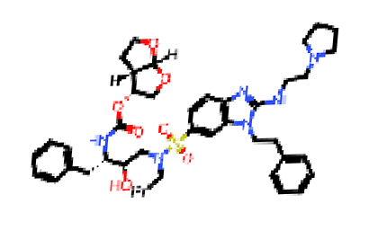 CC(C)CN(C[C@@H](O)[C@H](Cc1ccccc1)NC(=O)O[C@H]1CO[C@H]2OCC[C@H]21)S(=O)(=O)c1ccc2nc(NCCN3CCCC3)n(CCc3ccccc3)c2c1